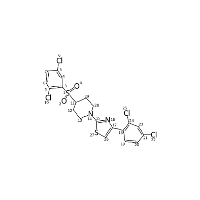 O=S(=O)(c1cc(Cl)ccc1Cl)C1CCN(c2nc(-c3ccc(Cl)cc3Cl)cs2)CC1